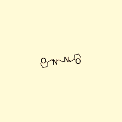 C(=NCCN=CC1CCCO1)C1CCCO1